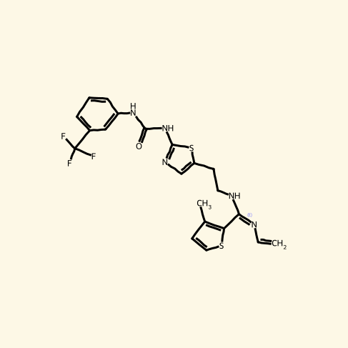 C=C/N=C(/NCCc1cnc(NC(=O)Nc2cccc(C(F)(F)F)c2)s1)c1sccc1C